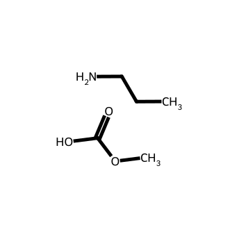 CCCN.COC(=O)O